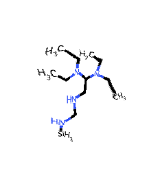 CCN(CC)C(CNCN[SiH3])N(CC)CC